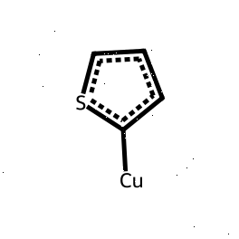 [Cu][c]1cccs1